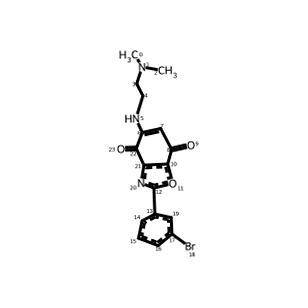 CN(C)CCNC1=CC(=O)c2oc(-c3cccc(Br)c3)nc2C1=O